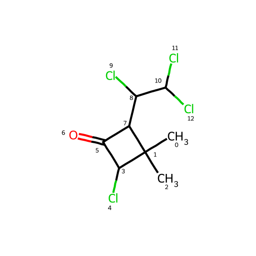 CC1(C)C(Cl)C(=O)C1C(Cl)C(Cl)Cl